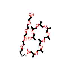 CC(O)COC(C)COC(C)COC(C)COC(C)COC(C)COC(C)COC(C)CO.COCCOCCOCCOCCOCCO